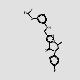 CC1CN(c2ccc(F)cc2)C(=O)c2cc(CNc3cccc(OC(F)F)c3)nn21